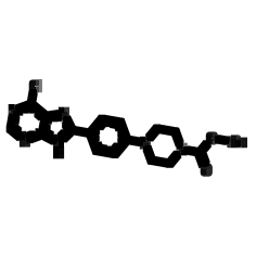 CC(C)(C)OC(=O)N1CCN(c2ccc(-c3nc4c(Cl)ncnc4[nH]3)cc2)CC1